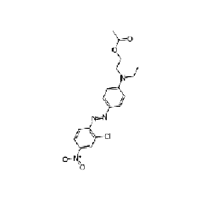 CCN(CCOC(C)=O)c1ccc(N=Nc2ccc([N+](=O)[O-])cc2Cl)cc1